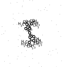 Cc1cc(N(c2cc(C)c(C(C)C)c(C)c2)c2ccc3c4cc5c(cc4n4c6ccccc6c2c34)c2ccc(N(c3cc(C)c(C(C)C)c(C)c3)c3cc(C)c(C(C)C)c(C)c3)c3c4ccccc4n5c23)c(C)cc1C(C)C